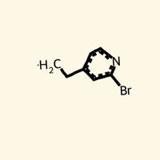 [CH2]Cc1ccnc(Br)c1